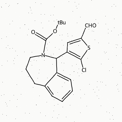 CC(C)(C)OC(=O)N1CCCc2ccccc2C1c1cc(C=O)sc1Cl